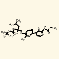 COC(=O)Nc1nccc(-c2ccc(OCC(C)(CC(C)C)NC(=O)OC(C)(C)C)c(C)n2)c1F